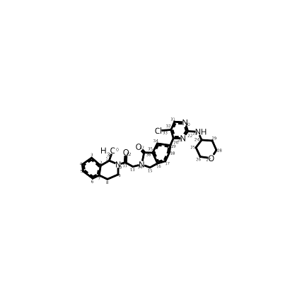 CC1c2ccccc2CCN1C(=O)CN1Cc2ccc(-c3nc(NC4CCOCC4)ncc3Cl)cc2C1=O